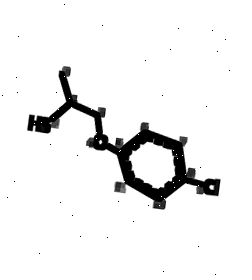 CC(S)COc1ccc(Cl)cc1